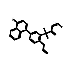 C=CCc1ccc(-c2ccc(I)c3ccccc23)cc1C(C)(C)C(=C)/C=C\C